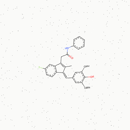 COc1cc(C=C2C(C)=C(CC(=O)Nc3ccccc3)c3cc(F)ccc32)cc(OC)c1O